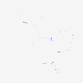 C=C(C)C1CCCN1C(=C)C(C)CN